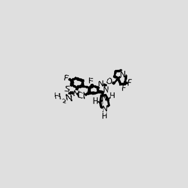 Nc1nc2c(-c3c(Cl)cc4c(N5[C@@H]6CC[C@H]5CNC6)nc(OCC56CCCN5CC(F)(F)C6)nc4c3F)ccc(F)c2s1